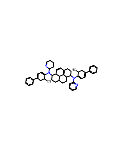 N#CC1CC(c2ccccc2)=CC=C1N(c1ccccn1)C1CCC2=C3C1CCC1CCC(N(C4=CC=C(c5ccccc5)CC4C#N)C4CCCC=N4)C(C=C2)C31